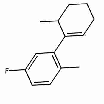 Cc1ccc(F)cc1C1=[C]CCCC1C